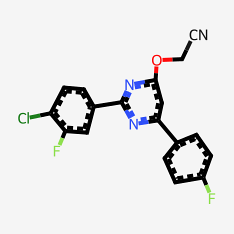 N#CCOc1cc(-c2ccc(F)cc2)nc(-c2ccc(Cl)c(F)c2)n1